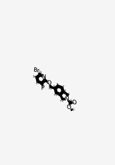 COC(=O)N1Cc2ccc(COc3nc(Br)ccc3F)cc2C1